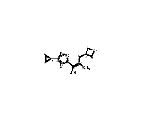 CC(CC1COC1)=C(C#N)c1nc(C2CC2)no1